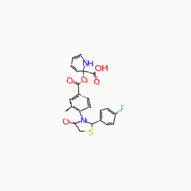 Cc1cc(C(=O)OC2(C(=O)O)C=CC=CN2)ccc1N1C(=O)CSC1c1ccc(F)cc1